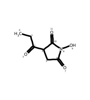 CCC(=O)C1CC(=O)N(O)C1=O